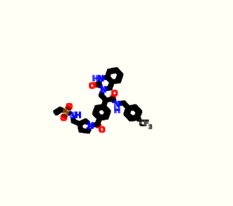 C=CS(=O)(=O)NCC1CCN(C(=O)c2ccc(C(CN3CC4C=CC=CC4NC3=O)C(=O)NCc3ccc(C(F)(F)F)cc3)cc2)C1